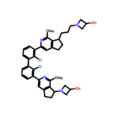 COc1nc(-c2cccc(-c3cccc(-c4cc5c(c(OC)n4)C(N4CC(O)C4)CC5)c3Cl)c2Cl)cc2c1C(CCCN1CC(O)C1)CC2